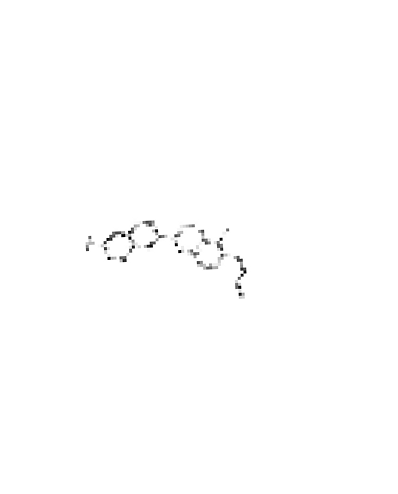 C=C/C=C\c1cc/c(=C/C(=C\C)c2ccc3cc(I)ccc3c2)c(=C)c1C